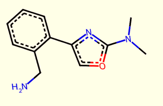 CN(C)c1nc(-c2ccccc2CN)co1